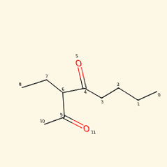 CCCCC(=O)C(CC)C(C)=O